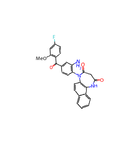 COc1cc(F)ccc1C(=O)c1ccc(N2C(=O)CC(=O)Nc3c2ccc2ccccc32)c(N)c1